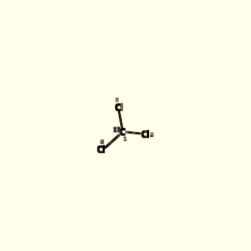 Cl[13CH](Cl)Cl